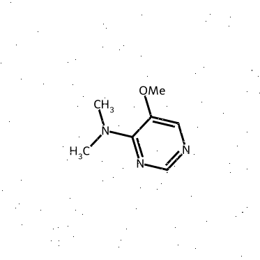 COc1cn[c]nc1N(C)C